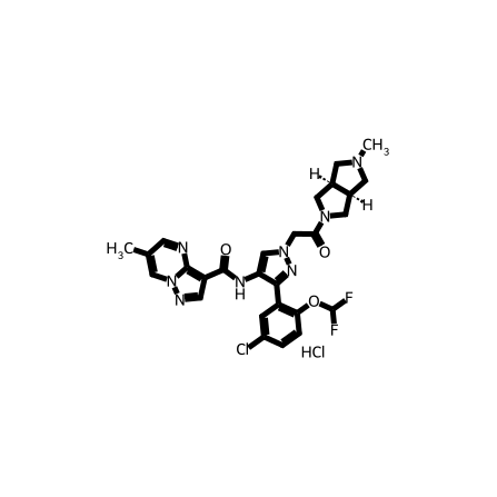 Cc1cnc2c(C(=O)Nc3cn(CC(=O)N4C[C@H]5CN(C)C[C@H]5C4)nc3-c3cc(Cl)ccc3OC(F)F)cnn2c1.Cl